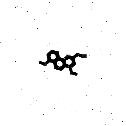 COc1ccnc2c1ccc1c(OC)cc(CO)nc12